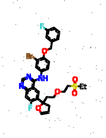 CCS(=O)(=O)CCOCCC1(c2cc3c(Nc4ccc(OCc5cccc(F)c5)c(Br)c4)ncnc3cc2F)CC=CO1